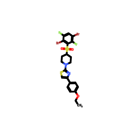 CCOc1ccc(-c2csc(N3CCC(S(=O)(=O)c4c(F)c(Br)cc(F)c4Br)CC3)n2)cc1